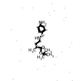 CN(CCNSc1ccc(N)cc1)C(=O)OC(C)(C)C